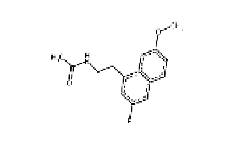 COc1ccc2cc(F)cc(CCNC(C)=O)c2c1